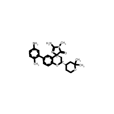 Cc1ccc(N)cc1-c1ccc2c(c1)[C@]1(C[C@H](C3CCOC(C)(C)C3)O2)N=C(N)N(C)C1=O